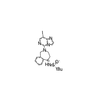 CC(C)(C)[S@@+]([O-])N[C@H]1CCN(c2ncc(I)c3nccn23)Cc2ccccc21